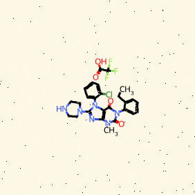 CCc1ccccc1-n1c(=O)c2c(nc(N3CCNCC3)n2-c2ccccc2Cl)n(C)c1=O.O=C(O)C(F)(F)F